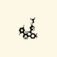 O=C(Nc1c(-c2cc(F)ccc2F)cnnc1C1CCC(F)(F)CC1)c1cc(OCC(F)F)no1